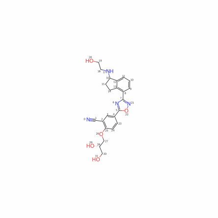 N#Cc1cc(-c2nc(-c3cccc4c3CCC4NCCO)no2)ccc1OC[C@@H](O)CO